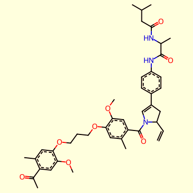 C=CC1CC(c2ccc(NC(=O)C(C)NC(=O)CC(C)C)cc2)=CN1C(=O)c1cc(OC)c(OCCCOc2cc(C)c(C(C)=O)cc2OC)cc1C